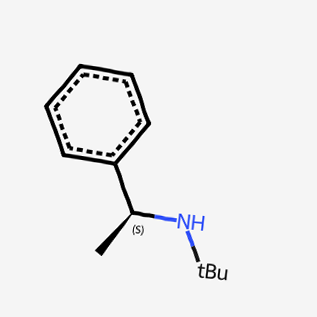 C[C@H](NC(C)(C)C)c1ccccc1